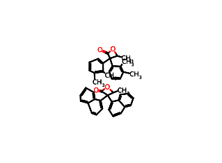 CC1OC(=O)C1(c1cccc2ccccc12)c1cccc2ccccc12.Cc1cccc(C2(c3cccc(C)c3C)C(=O)OC2C)c1C